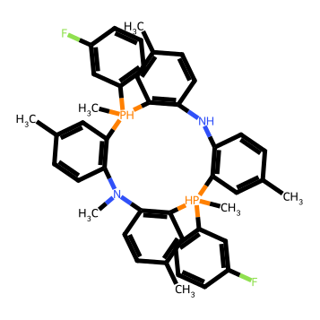 Cc1ccc2c(c1)[PH](C)(c1cccc(F)c1)c1cc(C)ccc1N(C)c1ccc(C)cc1[PH](C)(c1cccc(F)c1)c1cc(C)ccc1N2